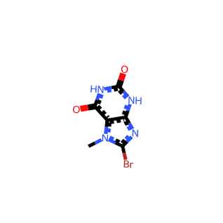 Cn1c(Br)nc2[nH]c(=O)[nH]c(=O)c21